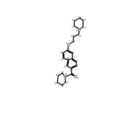 O=C(c1ccc2cc(OCCCN3CCCCC3)ccc2c1)N1CCCCC1